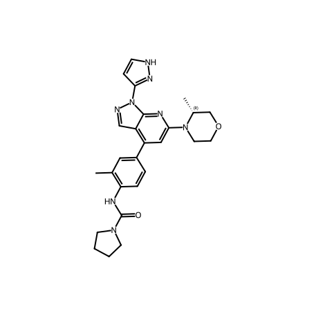 Cc1cc(-c2cc(N3CCOC[C@H]3C)nc3c2cnn3-c2cc[nH]n2)ccc1NC(=O)N1CCCC1